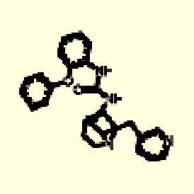 O=C(Nc1ccccc1Oc1ccccc1)NC1C2CCN(CC2)C1Cc1cccnc1